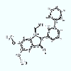 CC[C@@H]1c2cc(OC)c(OC)cc2C(=O)N1c1cccc(-c2ncccn2)n1